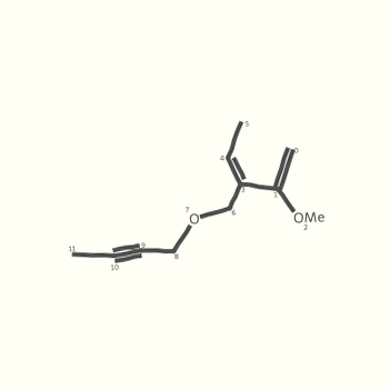 C=C(OC)/C(=C\C)COCC#CC